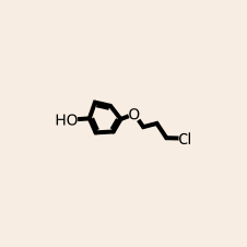 Oc1ccc(OCCCCl)cc1